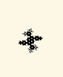 CC(C)(C)c1ccc(-c2cc(-c3cc([Si](C)(C)C)cc([Si](C)(C)C)c3)c3ccc4c(-c5ccc(C(C)(C)C)cc5)cc(-c5cc([Si](C)(C)C)cc([Si](C)(C)C)c5)c5ccc2c3c45)cc1